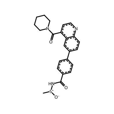 C[S+]([O-])NC(=O)c1ccc(-c2ccc3nccc(C(=O)N4CCCCC4)c3c2)cc1